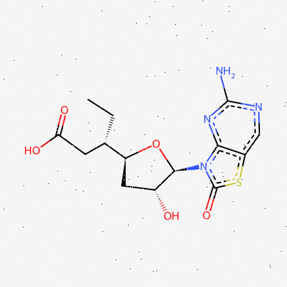 CC[C@@H](CC(=O)O)[C@@H]1C[C@@H](O)[C@H](n2c(=O)sc3cnc(N)nc32)O1